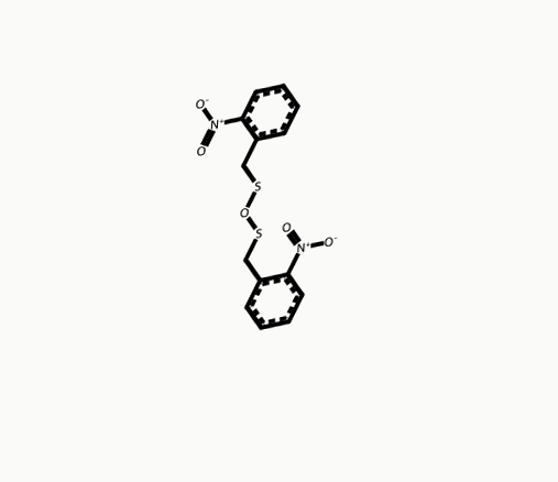 O=[N+]([O-])c1ccccc1CSOSCc1ccccc1[N+](=O)[O-]